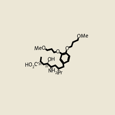 COCCCOc1ccc(C[C@@H](C[C@H](N)[C@@H](O)C[C@@H](C)C(=O)O)C(C)C)cc1OCCCOC